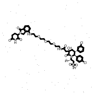 CC(C)[C@@H](CS(=O)(=O)C(C)C)N1C(=O)[C@@](C)(CC(=O)NCCOCCOCCOCCNc2cccc3c2CN(C2CCC(=O)NC2=O)C3=O)C[C@H](c2cccc(Cl)c2)[C@H]1c1ccc(Cl)cc1